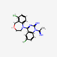 CC(=N)n1c(=N)nc(N2CCOCc3c(Br)cccc32)c2cc(F)ccc21